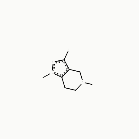 CCN1CCc2c(c(I)nn2I)C1